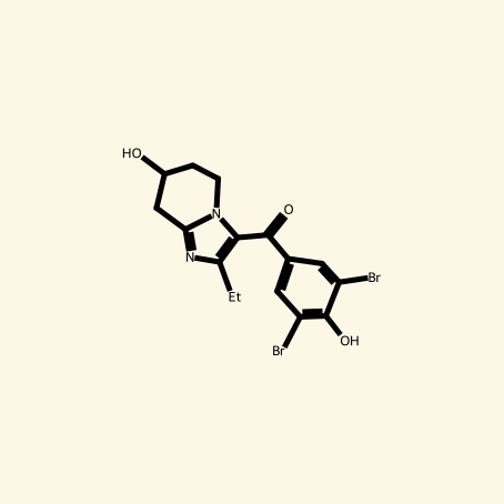 CCc1nc2n(c1C(=O)c1cc(Br)c(O)c(Br)c1)CCC(O)C2